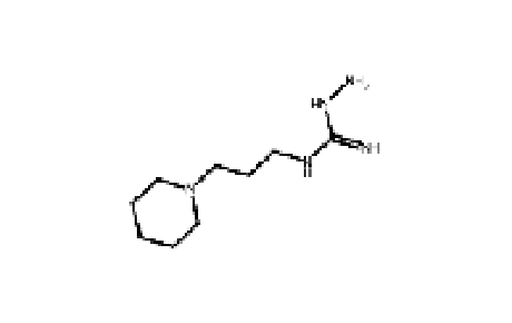 N=C(NN)NCCCN1CCCCC1